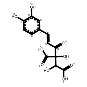 O=C(O)C(O)C(O)(C(=O)O)C(=O)C=Cc1ccc(O)c(O)c1